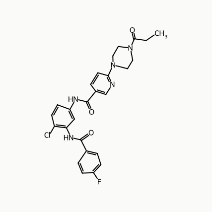 CCC(=O)N1CCN(c2ccc(C(=O)Nc3ccc(Cl)c(NC(=O)c4ccc(F)cc4)c3)cn2)CC1